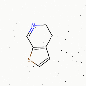 C1=NCCc2ccsc21